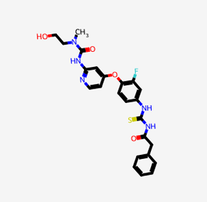 CN(CCO)C(=O)Nc1cc(Oc2ccc(NC(=S)NC(=O)Cc3ccccc3)cc2F)ccn1